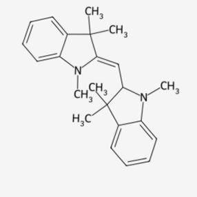 CN1C(=CC2N(C)c3ccccc3C2(C)C)C(C)(C)c2ccccc21